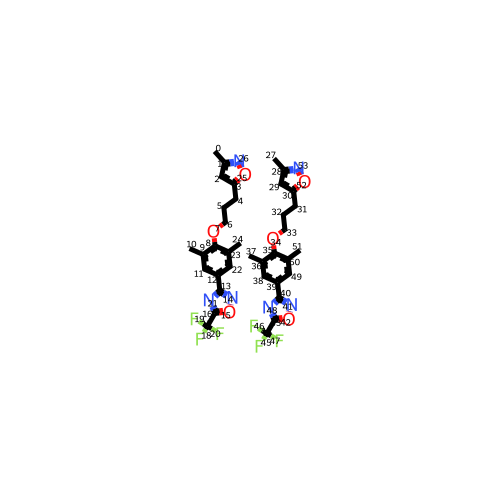 Cc1cc(CCCOc2c(C)cc(-c3noc(C(F)(F)F)n3)cc2C)on1.Cc1cc(CCCOc2c(C)cc(-c3noc(C(F)(F)F)n3)cc2C)on1